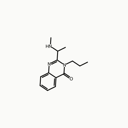 CCCn1c(C(C)NC)nc2ccccc2c1=O